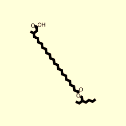 CCCCC(CC)COC(=O)CCCCCCCCCCCCCCCCCCCCCC(C)CC(=O)O